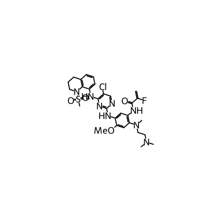 C=C(F)C(=O)Nc1cc(Nc2ncc(Cl)c(Nc3cccc4c3N(S(C)(=O)=O)CCC4)n2)c(OC)cc1N(C)CCN(C)C